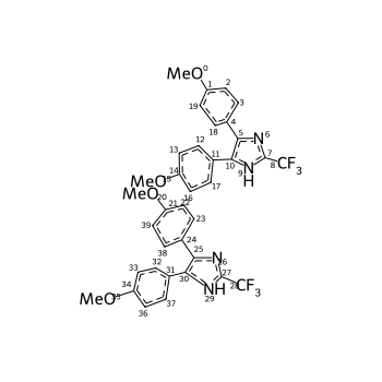 COc1ccc(-c2nc(C(F)(F)F)[nH]c2-c2ccc(OC)cc2)cc1.COc1ccc(-c2nc(C(F)(F)F)[nH]c2-c2ccc(OC)cc2)cc1